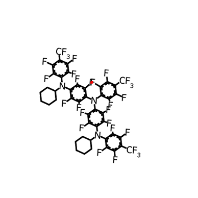 Fc1c(F)c(N(c2c(F)c(F)c(C(F)(F)F)c(F)c2F)C2CCCCC2)c(F)c(F)c1N(c1c(F)c(F)c(N(c2c(F)c(F)c(C(F)(F)F)c(F)c2F)C2CCCCC2)c(F)c1F)c1c(F)c(F)c(C(F)(F)F)c(F)c1F